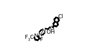 OC(COc1ccc2cc(Cl)ccc2c1)CN1CCN(c2nc(C(F)(F)F)ccc2F)CC1